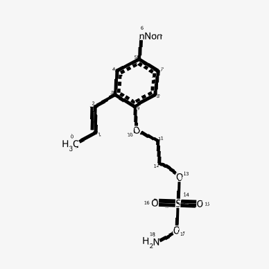 C/C=C/c1cc(CCCCCCCCC)ccc1OCCOS(=O)(=O)ON